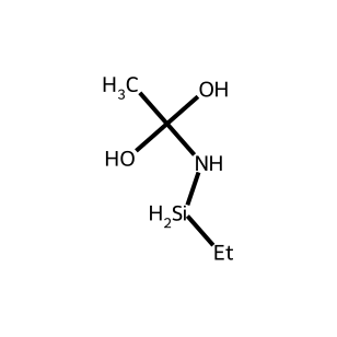 CC[SiH2]NC(C)(O)O